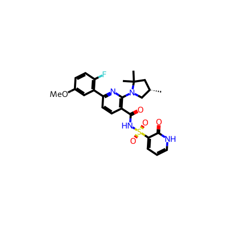 COc1ccc(F)c(-c2ccc(C(=O)NS(=O)(=O)c3ccc[nH]c3=O)c(N3C[C@@H](C)CC3(C)C)n2)c1